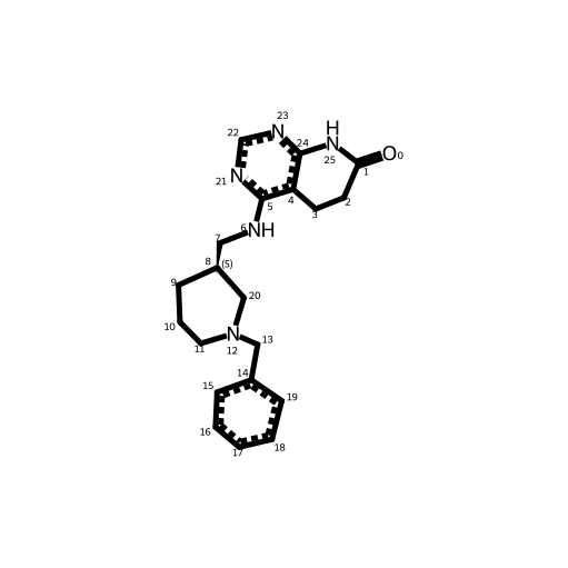 O=C1CCc2c(NC[C@@H]3CCCN(Cc4ccccc4)C3)ncnc2N1